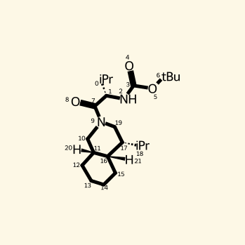 CC(C)[C@H](NC(=O)OC(C)(C)C)C(=O)N1C[C@H]2CCCC[C@H]2[C@@H](C(C)C)C1